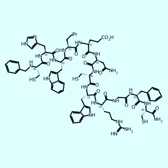 CC(C)C[C@H](NC(=O)[C@H](Cc1c[nH]c2ccccc12)NC(=O)[C@H](Cc1c[nH]cn1)NC(=O)[C@H](CS)NCc1ccccc1)C(=O)N[C@@H](CCC(=O)O)C(=O)N[C@@H](CC(N)=O)C(=O)N[C@@H](CS)C(=O)N[C@@H](Cc1c[nH]c2ccccc12)C(=O)N[C@@H](CCCNC(=N)N)C(=O)NCC(=O)N[C@@H](Cc1ccccc1)C(=O)N[C@@H](CS)C(N)=O